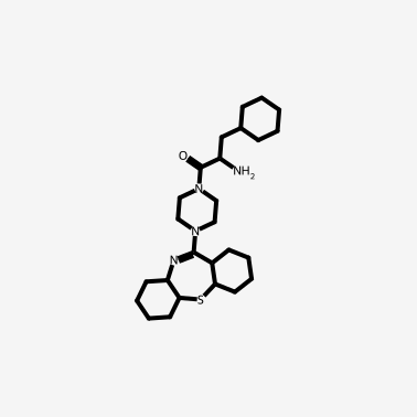 NC(CC1CCCCC1)C(=O)N1CCN(C2=NC3CCCCC3SC3CCCCC23)CC1